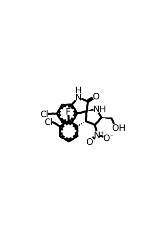 O=C1Nc2cc(Cl)ccc2[C@]12N[C@@H](CO)C([N+](=O)[O-])[C@@H]2c1cccc(Cl)c1F